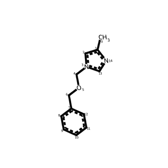 Cc1cn(COCc2ccccc2)cn1